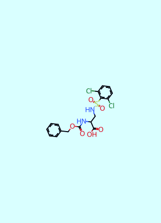 O=C(NC(CNS(=O)(=O)c1c(Cl)cccc1Cl)C(=O)O)OCc1ccccc1